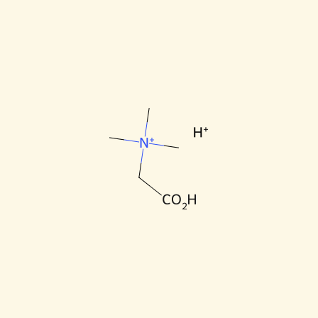 C[N+](C)(C)CC(=O)O.[H+]